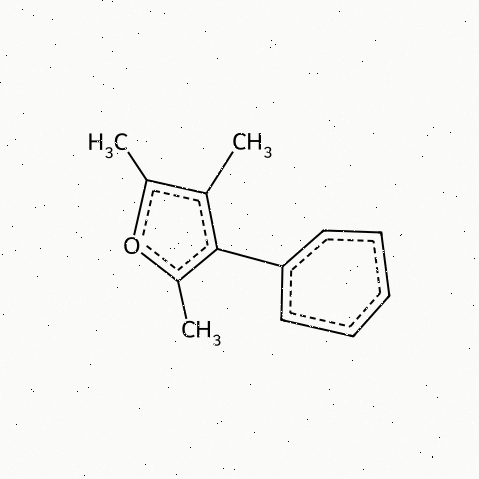 Cc1oc(C)c(-c2ccccc2)c1C